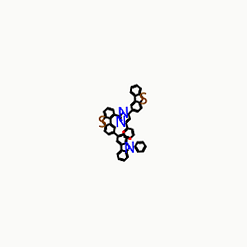 c1ccc(-c2cc(-c3ccc4sc5ccccc5c4c3)nc(-c3cccc4sc5ccc(-c6ccc7c(c6)c6ccccc6n7-c6ccccc6)cc5c34)n2)cc1